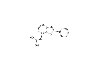 OB(O)Oc1cccc2nc(-c3ccccc3)oc12